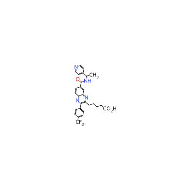 CC(NC(=O)c1ccc2nc(-c3ccc(C(F)(F)F)cc3)c(CCCCC(=O)O)nc2c1)c1ccncc1